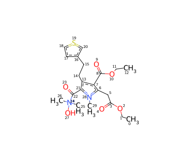 CCOC(=O)Cc1c(C(=O)OCC)c(CCc2ccsc2)c(C(=O)[N+](C)(C)O)n1C